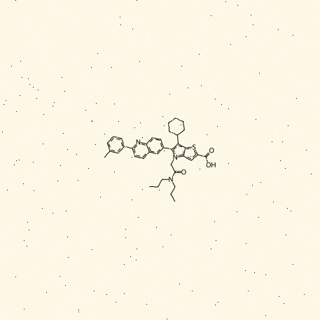 CCCN(CCC)C(=O)Cn1c(-c2ccc3nc(-c4cccc(C)c4)ccc3c2)c(C2CCCCC2)c2sc(C(=O)O)cc21